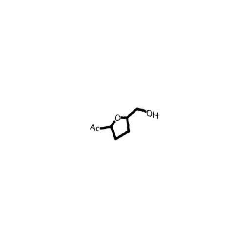 CC(=O)C1CCC(CO)O1